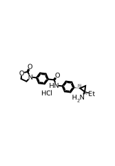 CC[C@]1(N)C[C@H]1c1ccc(NC(=O)c2ccc(N3CCOC3=O)cc2)cc1.Cl